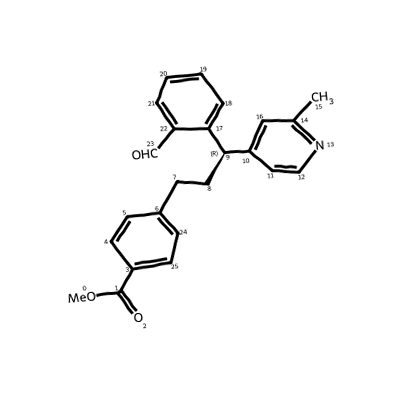 COC(=O)c1ccc(CC[C@H](c2ccnc(C)c2)c2ccccc2C=O)cc1